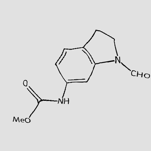 COC(=O)Nc1ccc2c(c1)N(C=O)CC2